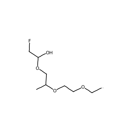 [CH2]COCCOC(C)COC(O)CF